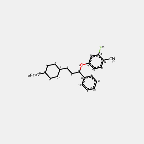 CCCCCC1CCC(CCC(Oc2ccc(C#N)c(F)c2)c2ccccc2)CC1